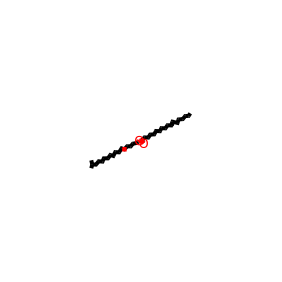 CCCCCCC=CCCCCCCCCCC(=O)OCCCCCCCCCCCCCCCC(C)C